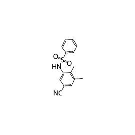 Cc1cc(C#N)cc(NS(=O)(=O)c2ccccc2)c1C